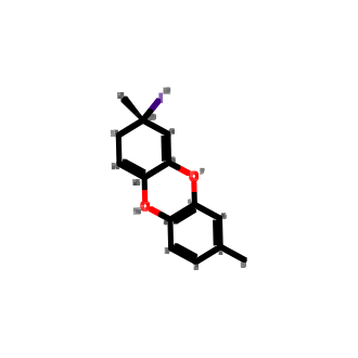 Cc1ccc2c(c1)OC1=C[C@@](C)(I)CC=C1O2